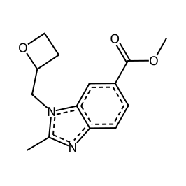 COC(=O)c1ccc2nc(C)n(CC3CCO3)c2c1